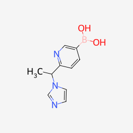 CC(c1ccc(B(O)O)cn1)n1ccnc1